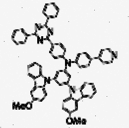 COc1ccc2c(c1)c1ccccc1n2-c1cc(N(c2ccc(-c3ccncc3)cc2)c2ccc(-c3nc(-c4ccccc4)nc(-c4ccccc4)n3)cc2)cc(-n2c3ccccc3c3cc(OC)ccc32)c1